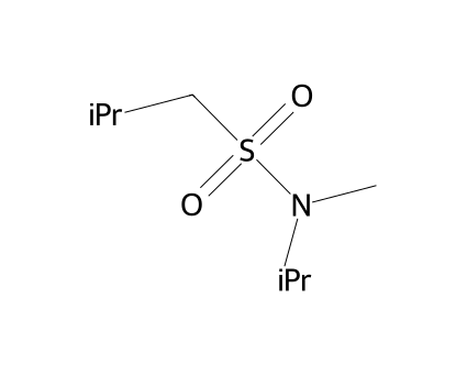 CC(C)CS(=O)(=O)N(C)C(C)C